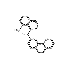 O=C(O)c1cccc2cccc(C(=O)c3ccc4ccc5ccccc5c4c3)c12